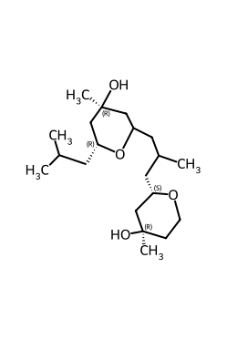 CC(C)C[C@@H]1C[C@@](C)(O)CC(CC(C)C[C@H]2C[C@](C)(O)CCO2)O1